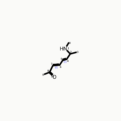 CNC(C)/C=C/C=C/C(C)=O